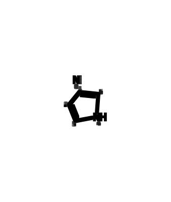 [N].c1cc[nH]c1